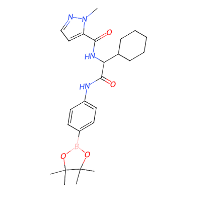 Cn1nccc1C(=O)NC(C(=O)Nc1ccc(B2OC(C)(C)C(C)(C)O2)cc1)C1CCCCC1